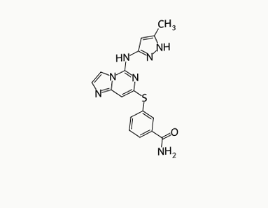 Cc1cc(Nc2nc(Sc3cccc(C(N)=O)c3)cc3nccn23)n[nH]1